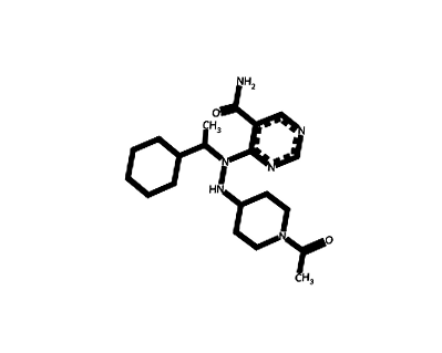 CC(=O)N1CCC(NN(c2ncncc2C(N)=O)C(C)C2CCCCC2)CC1